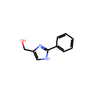 OCc1c[nH]c(-c2ccccc2)n1